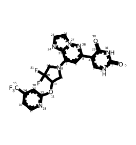 O=c1[nH]cc(-c2cc(N3CC(Oc4cc(C(F)(F)F)ccn4)C(F)(F)C3)c3nccn3n2)c(=O)[nH]1